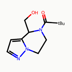 CC(C)(C)C(=O)N1CCn2nccc2C1CO